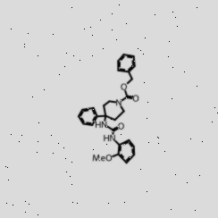 COc1ccccc1NC(=O)NC1(c2ccccc2)CCN(C(=O)OCc2ccccc2)CC1